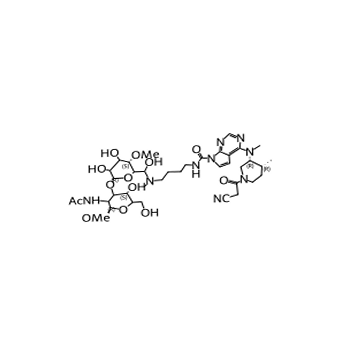 CO[C@@H]1OC(CO)[C@@H](O)C(O[C@@H]2OC(C(O)N(C)CCCCNC(=O)n3ccc4c(N(C)[C@H]5CN(C(=O)CC#N)CC[C@H]5C)ncnc43)[C@@H](OC)C(O)C2O)C1NC(C)=O